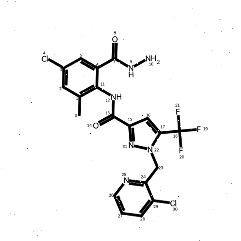 Cc1cc(Cl)cc(C(=O)NN)c1NC(=O)c1cc(C(F)(F)F)n(Cc2ncccc2Cl)n1